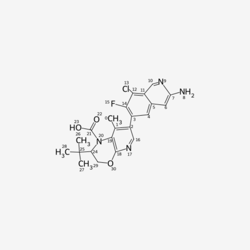 Cc1c(-c2cc3cc(N)ncc3c(Cl)c2F)cnc2c1N(C(=O)O)C(C(C)(C)C)CO2